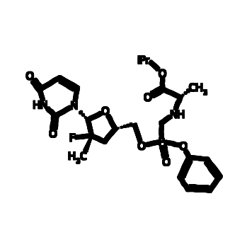 CC(C)OC(=O)[C@H](C)NCP(=O)(OC[C@@H]1C[C@](C)(F)[C@H](n2ccc(=O)[nH]c2=O)O1)Oc1ccccc1